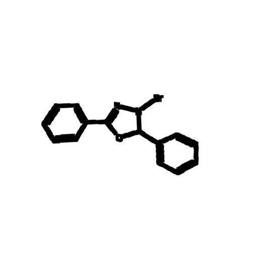 BrN1N=C(c2ccccc2)OC1c1ccccc1